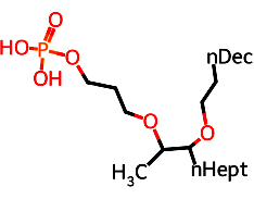 CCCCCCCCCCCCOC(CCCCCCC)C(C)OCCCOP(=O)(O)O